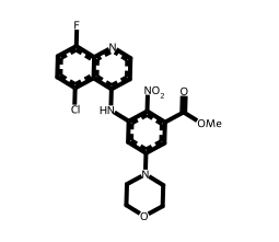 COC(=O)c1cc(N2CCOCC2)cc(Nc2ccnc3c(F)ccc(Cl)c23)c1[N+](=O)[O-]